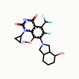 COc1c(N2CC3CCCC(O)C3C2)c(F)c(C(F)F)c2c(=O)[nH]c(=O)n(C3CC3)c12